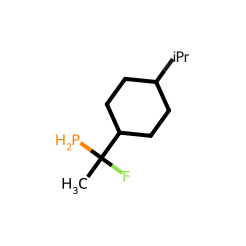 CC(C)C1CCC(C(C)(F)P)CC1